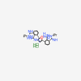 CC(C)NC(=N)c1cccc(-c2ccc(-c3cccc(C(=N)NC(C)C)c3C(=N)N)o2)c1C(=N)N.Cl.Cl